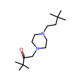 CC(C)(C)CCN1CCN(CC(=O)C(C)(C)C)CC1